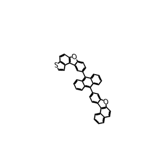 c1ccc2c(c1)ccc1oc3cc(-c4c5ccccc5c(-c5ccc6oc7ccc8sccc8c7c6c5)c5ccccc45)ccc3c12